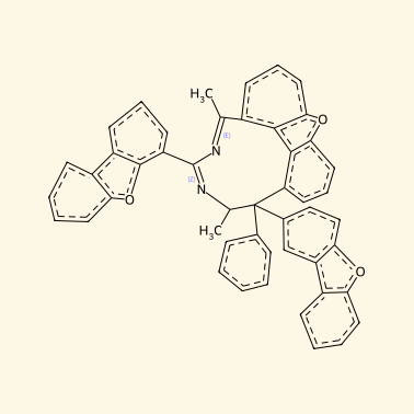 C/C1=N\C(c2cccc3c2oc2ccccc23)=N/C(C)C(c2ccccc2)(c2ccc3oc4ccccc4c3c2)c2cccc3oc4cccc1c4c23